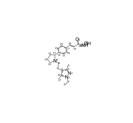 CCn1nc(C)c(CCN2CCCC2c2ccc(/C=C/C(=O)NO)cc2)c1C